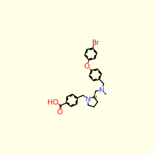 CN(Cc1ccc(Oc2ccc(Br)cc2)cc1)C[C@H]1CCCN1Cc1ccc(C(=O)O)cc1